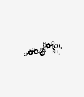 CN(CCN)C(=O)c1ccc(Nc2nc3c(N4CCC(O)(c5ccc(Cl)cc5)CC4)cccn3n2)cc1